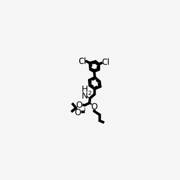 CCCCO[C@H]([C@H](N)Cc1ccc(-c2cc(Cl)cc(Cl)c2)cc1)[C@@H]1COC(C)(C)O1